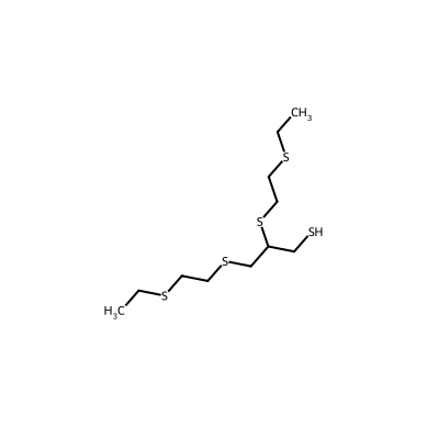 CCSCCSCC(CS)SCCSCC